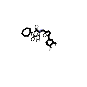 O=C1N/C(=C\c2ccc(-c3ccc(F)c(F)c3)o2)C(=O)N1C1CCCCCC1